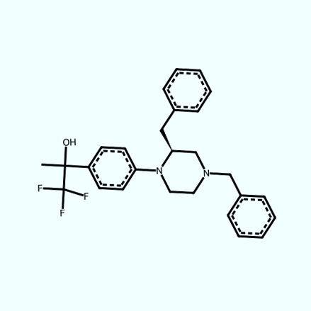 CC(O)(c1ccc(N2CCN(Cc3ccccc3)C[C@@H]2Cc2ccccc2)cc1)C(F)(F)F